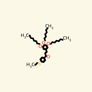 CCCCCCCCOc1cc(C=CC(=O)c2ccc(SCCC)cc2)cc(OCCCCCCCC)c1OCCCCCCCC